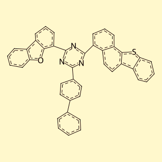 c1ccc(-c2ccc(-c3nc(-c4cccc5c4ccc4c6ccccc6sc54)nc(-c4cccc5c4oc4ccccc45)n3)cc2)cc1